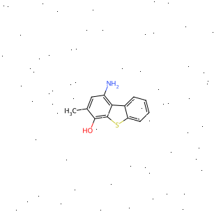 Cc1cc(N)c2c(sc3ccccc32)c1O